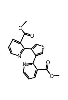 COC(=O)c1cccnc1-c1cscc1-c1ncccc1C(=O)OC